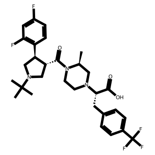 C[C@H]1CN([C@@H](Cc2ccc(C(F)(F)F)cc2)C(=O)O)CCN1C(=O)[C@@H]1CN(C(C)(C)C)C[C@H]1c1ccc(F)cc1F